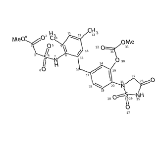 COC(=O)CS(=O)(=O)Nc1c(C)cc(C)cc1Cc1ccc(N2CC(=O)NS2(=O)=O)c(OC(=O)OC)c1